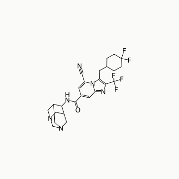 N#Cc1cc(C(=O)NC2C3CN4CC2CN(C3)C4)cc2nc(C(F)(F)F)c(CC3CCC(F)(F)CC3)n12